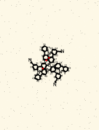 N#Cc1ccc(-n2c3ccccc3c3ccccc32)c(-c2ccc3c(c2)Oc2cc(-c4cc(C#N)ccc4-n4c5ccccc5c5ccccc54)cc4c2B3c2ccc(-c3cc(C#N)ccc3-n3c5ccccc5c5ccccc53)cc2O4)c1